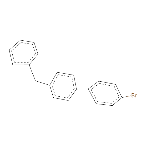 Brc1ccc(-c2ccc(Cc3ccccc3)cc2)cc1